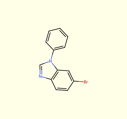 Brc1ccc2ncn(-c3ccccc3)c2c1